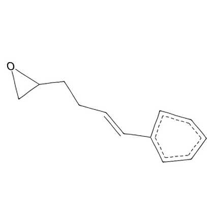 C(=Cc1ccccc1)CCC1CO1